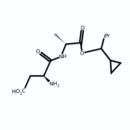 CC(C)C(OC(=O)[C@@H](C)NC(=O)[C@@H](N)CC(=O)O)C1CC1